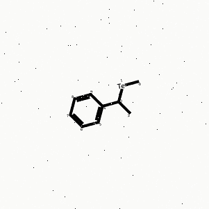 C[Te]C(C)c1ccccc1